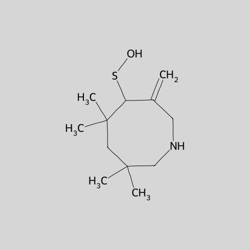 C=C1CNCC(C)(C)CC(C)(C)C1SO